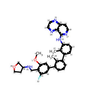 COc1cc(-c2cccc(-c3cccc(Nc4nccc5nccnc45)c3C)c2C)cc(F)c1CNC1CCOC1